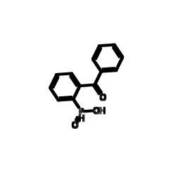 O=C(c1ccccc1)c1ccccc1[PH](=O)O